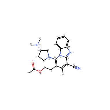 CC(=O)OCCc1c(C)c(C#N)c2nc3ccccc3n2c1N1CC[C@H](N(C)C)C1